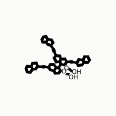 OCCOc1ccc2cc(C#Cc3ccc4ccccc4c3)ccc2c1-c1c(OCCO)c(C#Cc2ccc3ccccc3c2)cc2cc(C#Cc3ccc4ccccc4c3)ccc12